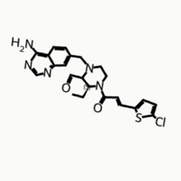 CC[C@H]1C(C=O)N(Cc2ccc3c(N)ncnc3c2)CCN1C(=O)C=Cc1ccc(Cl)s1